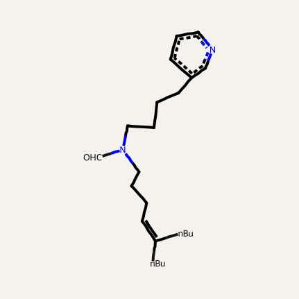 CCCCC(=CCCCN(C=O)CCCCc1cccnc1)CCCC